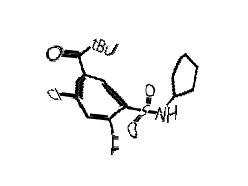 CC(C)(C)C(=O)c1cc(S(=O)(=O)NC2CCCC2)c(F)cc1Cl